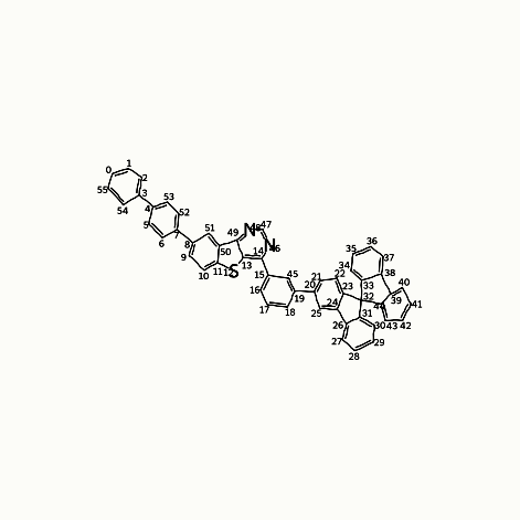 c1ccc(-c2ccc(-c3ccc4sc5c(-c6cccc(-c7ccc8c(c7)-c7ccccc7C87c8ccccc8-c8ccccc87)c6)ncnc5c4c3)cc2)cc1